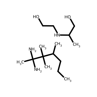 CC(CO)NCCO.CCCC(C)C(C)(C)C(C)(N)N